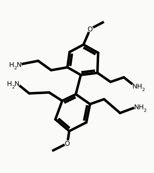 COc1cc(CCN)c(-c2c(CCN)cc(OC)cc2CCN)c(CCN)c1